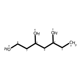 CCC(O)CC(O)CCO